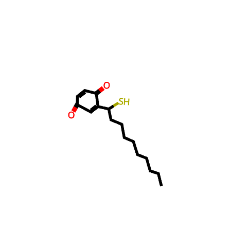 CCCCCCCCCC(S)C1=CC(=O)C=CC1=O